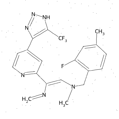 C=N/C(=C\N(C)Cc1ccc(C)cc1F)c1cc(-c2nn[nH]c2C(F)(F)F)ccn1